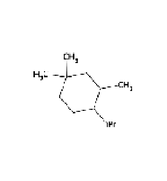 CC(C)C1CCC(C)(C)CC1C